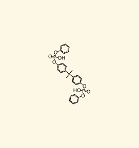 CC(C)(c1ccc(OP(=O)(O)Oc2ccccc2)cc1)c1ccc(OP(=O)(O)Oc2ccccc2)cc1